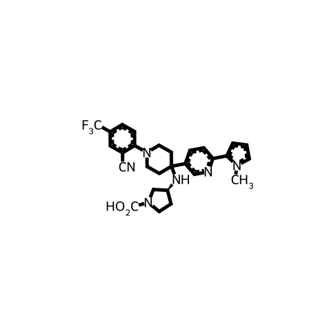 Cn1cccc1-c1ccc(C2(N[C@H]3CCN(C(=O)O)C3)CCN(c3ccc(C(F)(F)F)cc3C#N)CC2)cn1